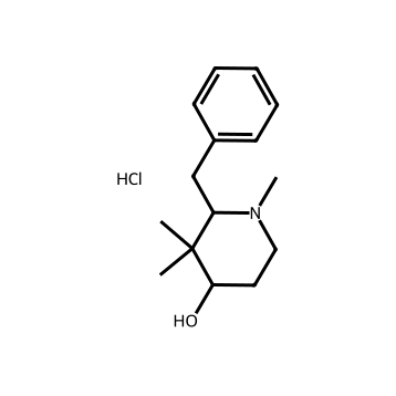 CN1CCC(O)C(C)(C)C1Cc1ccccc1.Cl